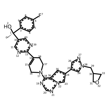 C[C@](O)(c1ccc(F)cc1)c1cnc(C2=CCN(c3ncnn4cc(-c5cnn(CC6COC6)c5)cc34)CC2)nc1